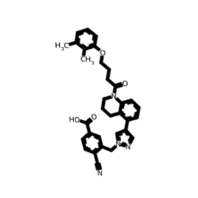 Cc1cccc(OCCCC(=O)N2CCCc3c(-c4cnn(Cc5cc(C(=O)O)ccc5C#N)c4)cccc32)c1C